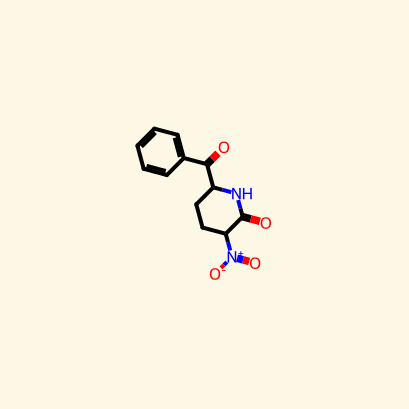 O=C(c1ccccc1)C1CCC([N+](=O)[O-])C(=O)N1